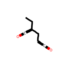 CCC(=C=O)CC=C=O